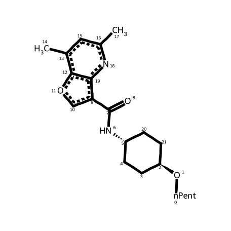 CCCCCO[C@H]1CC[C@H](NC(=O)c2coc3c(C)cc(C)nc23)CC1